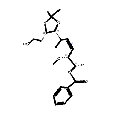 CO[C@H](/C=C\C(C)[C@H]1OC(C)(C)O[C@H]1CCO)[C@H](C)OC(=O)c1ccccc1